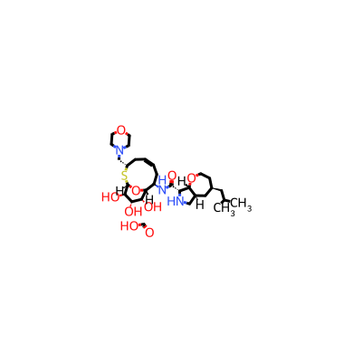 CC(C)C[C@@H]1CCO[C@@H]2[C@H](CN[C@@H]2C(=O)N[C@@H]2CC=CC[C@@H](CN3CCOCC3)S[C@H]3O[C@H]2[C@H](O)[C@H](O)[C@H]3O)C1.O=CO